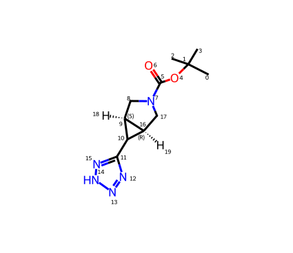 CC(C)(C)OC(=O)N1C[C@@H]2C(c3nn[nH]n3)[C@@H]2C1